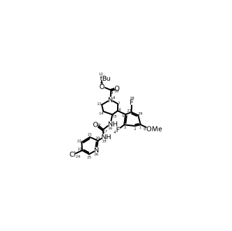 COc1cc(F)c(C2CN(C(=O)OC(C)(C)C)CCC2NC(=O)Nc2ccc(Cl)cn2)c(F)c1